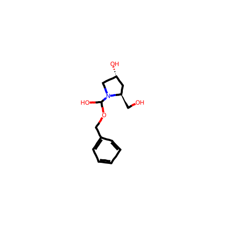 OC[C@@H]1C[C@@H](O)CN1C(O)OCc1ccccc1